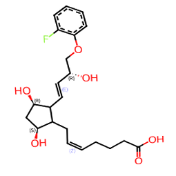 O=C(O)CCC/C=C\CC1C(/C=C/[C@@H](O)COc2ccccc2F)[C@H](O)C[C@@H]1O